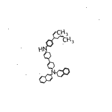 C/C=C\CC(/C=C\C)c1ccc(NC2=CC=C(C3=CC=C(N(C4=CC5C=CC=CC5C=C4)C4C=c5ccccc5=CC4)CC3)CC2)cc1